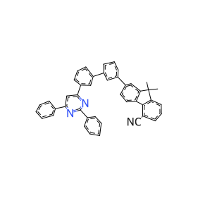 CC1(C)c2cc(-c3cccc(-c4cccc(-c5cc(-c6ccccc6)nc(-c6ccccc6)n5)c4)c3)ccc2-c2c(C#N)cccc21